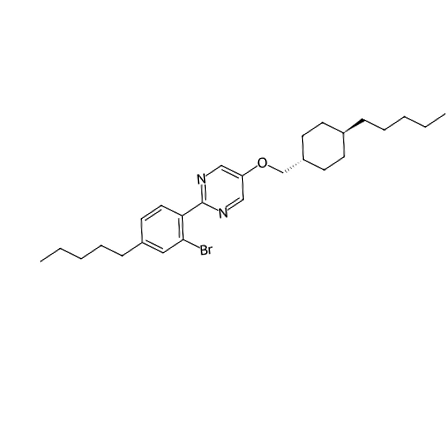 CCCCCc1ccc(-c2ncc(OC[C@H]3CC[C@H](CCCCC)CC3)cn2)c(Br)c1